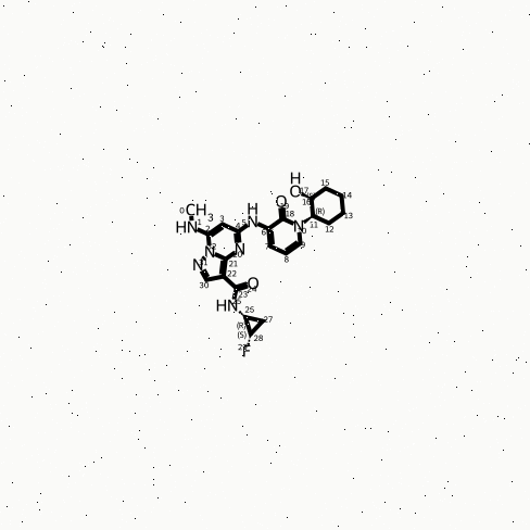 CNc1cc(Nc2cccn([C@@H]3CCCC[C@@H]3O)c2=O)nc2c(C(=O)N[C@@H]3C[C@@H]3F)cnn12